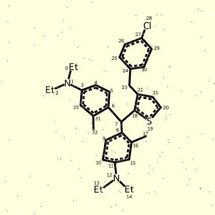 CCN(CC)c1ccc(C(c2ccc(N(CC)CC)cc2C)c2sccc2Cc2ccc(Cl)cc2)c(C)c1